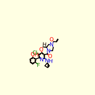 C=CC(=O)N1CCN2C(=O)c3c(NC45CC(C4)C5)nc(-c4c(O)cccc4F)c(Cl)c3OC[C@H]2C1